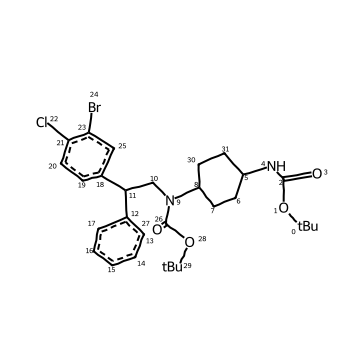 CC(C)(C)OC(=O)NC1CCC(N(CC(c2ccccc2)c2ccc(Cl)c(Br)c2)C(=O)OC(C)(C)C)CC1